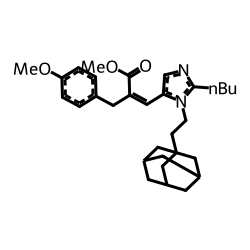 CCCCc1ncc(C=C(Cc2ccc(OC)cc2)C(=O)OC)n1CCC12CC3CC(CC(C3)C1)C2